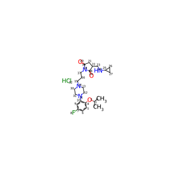 CC(C)Oc1ccc(F)cc1N1CCN(CCCN2C(=O)CC(CNC3CC3)C2=O)CC1.Cl